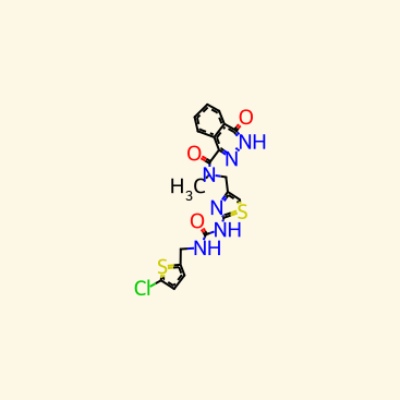 CN(Cc1csc(NC(=O)NCc2ccc(Cl)s2)n1)C(=O)c1n[nH]c(=O)c2ccccc12